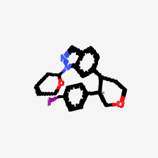 Ic1ccc([C]2COCCC2c2ccc3cnn(C4CCCCO4)c3c2)cc1